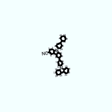 N#Cc1ccc2c(c1)c1cc(-c3ccc(-n4c5ccccc5c5ccccc54)cc3)ccc1n2-c1ccc(-c2ccccc2)cc1